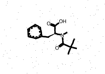 CN(C(=O)C(C)(C)C)[C@@H](Cc1ccccc1)C(=O)O